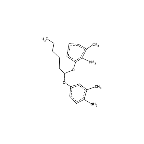 CCCCCC(Oc1ccc(N)c(C)c1)Oc1cccc(C)c1N